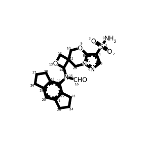 NS(=O)(=O)c1cnn2c1OCC1(COC1N(C=O)c1c3c(cc4c1CCC4)CCC3)C2